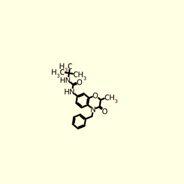 CC1Oc2cc(NC(=O)NC(C)(C)C)ccc2N(Cc2ccccc2)C1=O